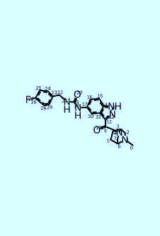 CN1CC2CCC1CN2C(=O)c1n[nH]c2ccc(NC(=O)NCc3ccc(F)cc3)cc12